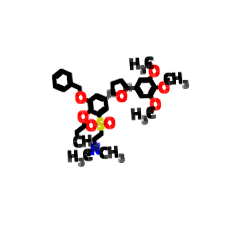 CCCOc1c(OCc2ccccc2)cc([C@@H]2CC[C@@H](c3cc(OC)c(OC)c(OC)c3)O2)cc1S(=O)(=O)CCN(C)C